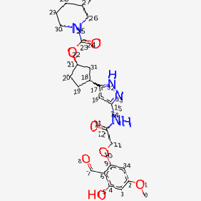 COc1cc(O)c(C=O)c(OCC(=O)Nc2cc([C@H]3CC[C@@H](OC(=O)N4CCCCC4)C3)[nH]n2)c1